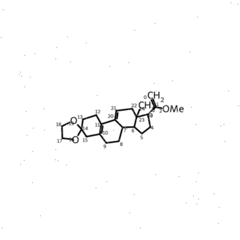 C=C(OC)[C@H]1CCC2C3CCC4=C(CCC5(C4)OCCO5)C3=CCC21C